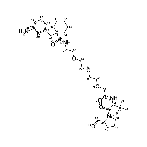 CC(C)(C)C(NC(=O)COCCOCCOCCNC(=O)C1(Cc2cccc(N)n2)CCCCC1)C(=O)N1CCC[C@H]1C=O